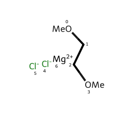 COCCOC.[Cl-].[Cl-].[Mg+2]